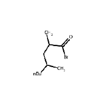 CCCCC(C)CC(C)C(=O)Br